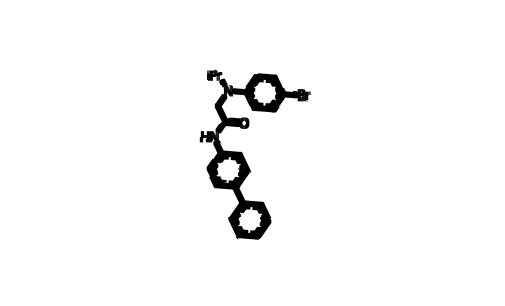 CC(C)N(CC(=O)Nc1ccc(-c2ccccc2)cc1)c1ccc(Br)cc1